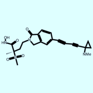 CNC1(C#CC#Cc2ccc3c(c2)CN(CC[C@](C)(C(=O)NO)S(C)(=O)=O)C3=O)CC1